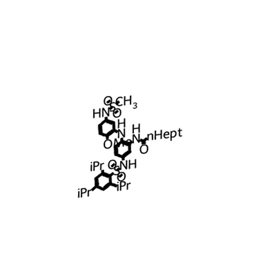 CCCCCCCC(=O)Nc1cc(NS(=O)(=O)c2c(C(C)C)cc(C(C)C)cc2C(C)C)ccc1Nc1cc(NS(C)(=O)=O)ccc1OC